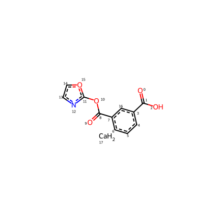 O=C(O)c1cccc(C(=O)Oc2ncco2)c1.[CaH2]